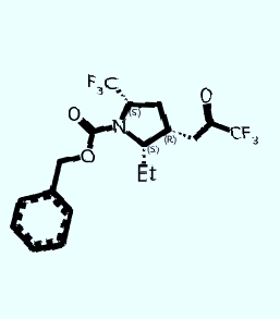 CC[C@H]1[C@@H](CC(=O)C(F)(F)F)C[C@@H](C(F)(F)F)N1C(=O)OCc1ccccc1